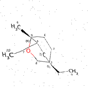 CC[C@@]12CC[C@@](C)(OC1)C(C)C2